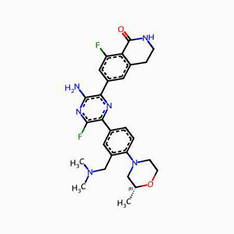 C[C@@H]1CN(c2ccc(-c3nc(-c4cc(F)c5c(c4)CCNC5=O)c(N)nc3F)cc2CN(C)C)CCO1